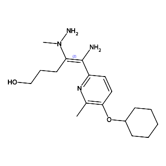 Cc1nc(/C(N)=C(\CCCO)N(C)N)ccc1OC1CCCCC1